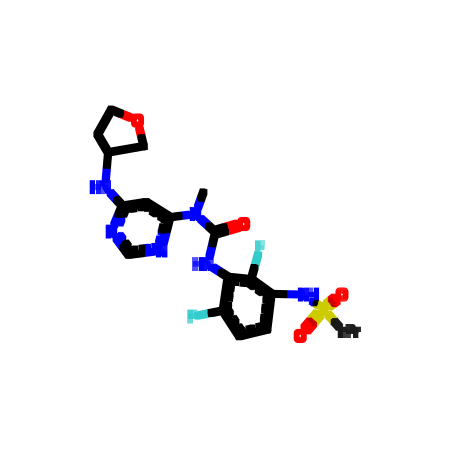 CCCS(=O)(=O)Nc1ccc(F)c(NC(=O)N(C)c2cc(NC3CCOC3)ncn2)c1F